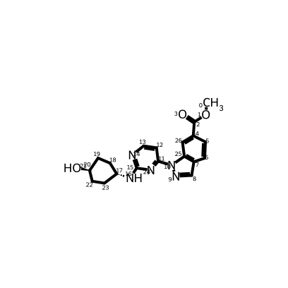 COC(=O)c1ccc2cnn(-c3ccnc(N[C@H]4CC[C@H](O)CC4)n3)c2c1